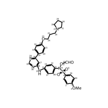 COc1ccc(S(=O)(=O)N(OC=O)c2ccc(Nc3cc(-c4ccc(OCCCN5CCCC5)cc4)ncn3)cc2)cc1